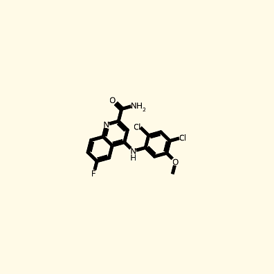 COc1cc(Nc2cc(C(N)=O)nc3ccc(F)cc23)c(Cl)cc1Cl